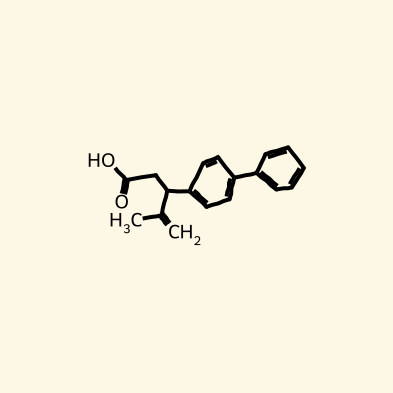 C=C(C)C(CC(=O)O)c1ccc(-c2ccccc2)cc1